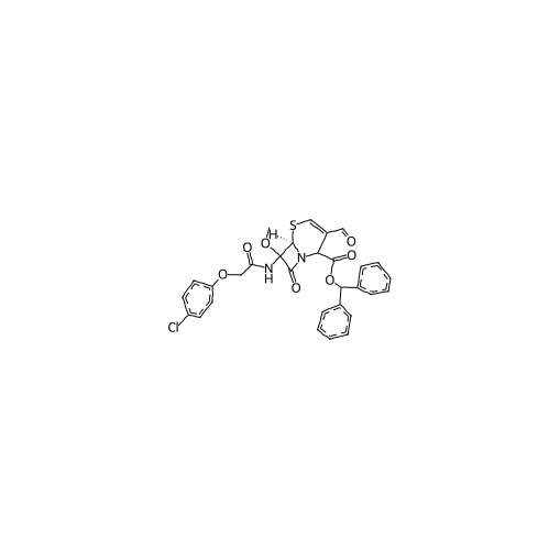 COC1(NC(=O)COc2ccc(Cl)cc2)C(=O)N2C(C(=O)OC(c3ccccc3)c3ccccc3)C(C=O)=CS[C@@H]21